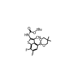 CC1(C)COB(c2cc(F)c(F)c3sc(NC(=O)OC(C)(C)C)c(C#N)c23)OC1